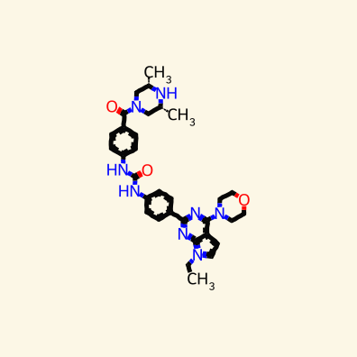 CCn1ccc2c(N3CCOCC3)nc(-c3ccc(NC(=O)Nc4ccc(C(=O)N5C[C@@H](C)N[C@@H](C)C5)cc4)cc3)nc21